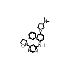 CN(C)[C@@H]1CCN(c2ccc(Nc3cc(N4OCC[C@@H]4c4ccccc4)ncn3)cc2)C1